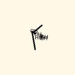 CCCCCCCCCCCCCCCCCCC(CO)N(CCO)CCCCCCCCCCCC.O=P(O)(O)O